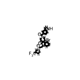 O=C(CN1C(=O)C2(CCN(C(=O)c3ccc4[nH]ncc4c3)CC2)c2c(Br)cccc21)N1CCC(C(F)(F)F)C1